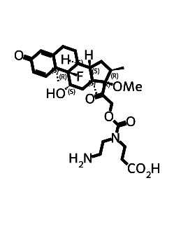 CO[C@]1(C(=O)COC(=O)N(CCN)CCC(=O)O)[C@H](C)C[C@H]2[C@@H]3CCC4=CC(=O)C=C[C@]4(C)[C@@]3(F)[C@@H](O)C[C@@]21C